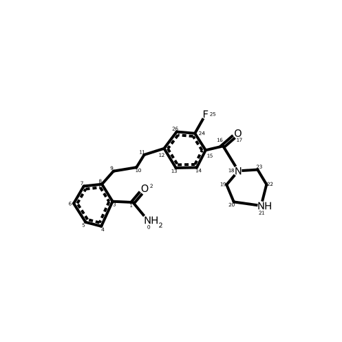 NC(=O)c1ccccc1CCCc1ccc(C(=O)N2CCNCC2)c(F)c1